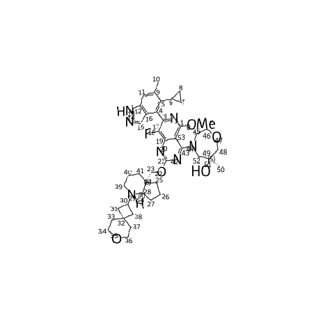 COc1nc(-c2c(C3CC3)c(C)cc3[nH]ncc23)c(F)c2nc(OC[C@]34CCC[C@H]3N(C3CC5(CCOCC5)C3)CCC4)nc(N3CCOC[C@@](C)(O)C3)c12